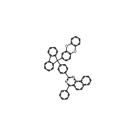 c1ccc(-c2nc(-c3ccc(C4(c5ccc6c(c5)Oc5ccccc5O6)c5ccccc5-c5ccccc54)cc3)nc3c2ccc2ccccc23)cc1